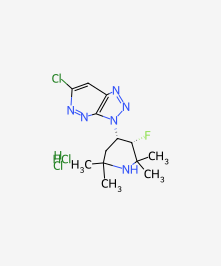 CC1(C)C[C@H](n2nnc3cc(Cl)nnc32)[C@H](F)C(C)(C)N1.Cl.Cl